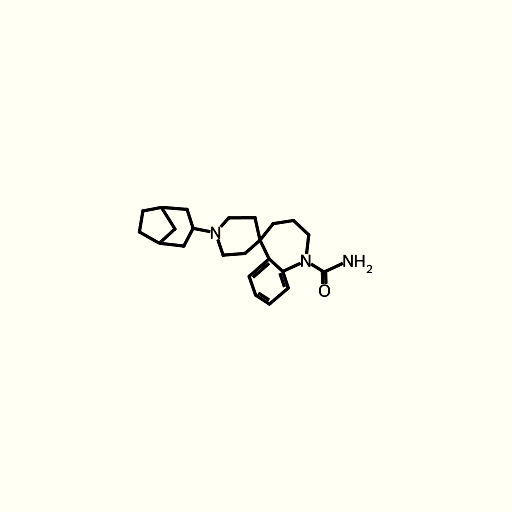 NC(=O)N1CCCC2(CCN(C3CC4CCC(C4)C3)CC2)c2ccccc21